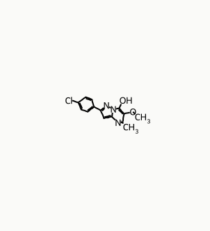 COc1c(C)nc2cc(-c3ccc(Cl)cc3)nn2c1O